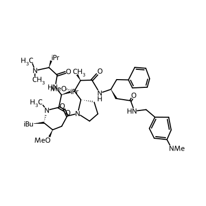 CC[C@H](C)[C@@H]([C@@H](CC(=O)N1CCC[C@H]1[C@H](OC)[C@@H](C)C(=O)N[C@H](CC(=O)NCc1ccc(NC)cc1)Cc1ccccc1)OC)N(C)C(=O)[C@@H](NC(=O)[C@H](C(C)C)N(C)C)C(C)C